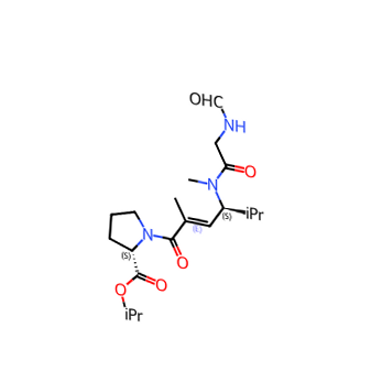 C/C(=C\[C@H](C(C)C)N(C)C(=O)CNC=O)C(=O)N1CCC[C@H]1C(=O)OC(C)C